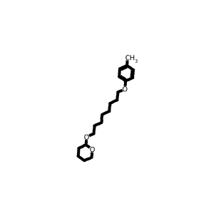 Cc1ccc(OCCCCCCCCOC2CCCCO2)cc1